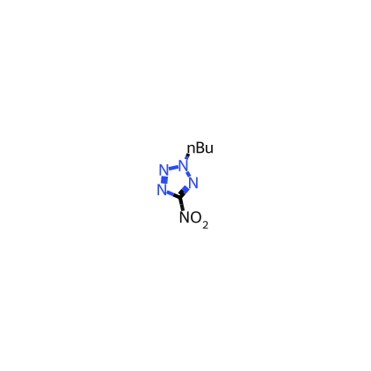 CCCCn1nnc([N+](=O)[O-])n1